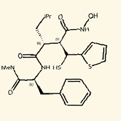 CNC(=O)[C@H](Cc1ccccc1)NC(=O)[C@H](CC(C)C)[C@@H](C(=O)NO)C(S)c1cccs1